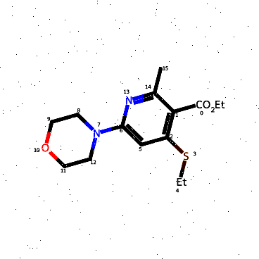 CCOC(=O)c1c(SCC)cc(N2CCOCC2)nc1C